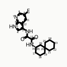 O=C(Nc1c[nH]c2ncc(F)cc12)C(=O)N[C@@H]1CCCC2(CCCCC2)C1